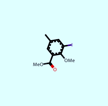 COC(=O)c1cc(C)cc(I)c1OC